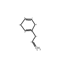 C=CCC1=CCC=CC1